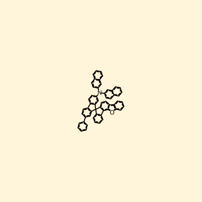 c1ccc(-c2ccc3c(c2)C2(c4cc(N(c5ccc6ccccc6c5)c5ccc6ccccc6c5)ccc4-3)c3ccccc3-c3c2ccc2c3oc3ccccc32)cc1